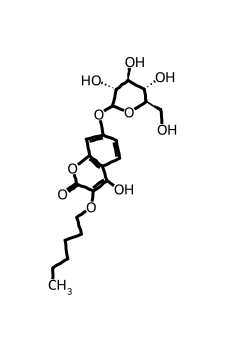 CCCCCCOc1c(O)c2ccc(OC3O[C@H](CO)[C@@H](O)[C@H](O)[C@H]3O)cc2oc1=O